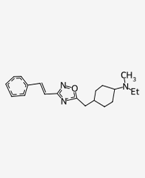 CCN(C)C1CCC(Cc2nc(C=Cc3ccccc3)no2)CC1